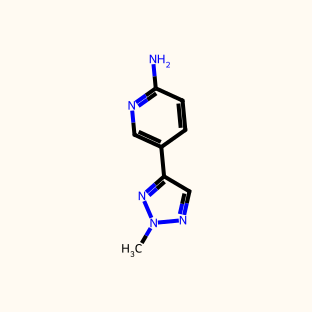 Cn1ncc(-c2ccc(N)nc2)n1